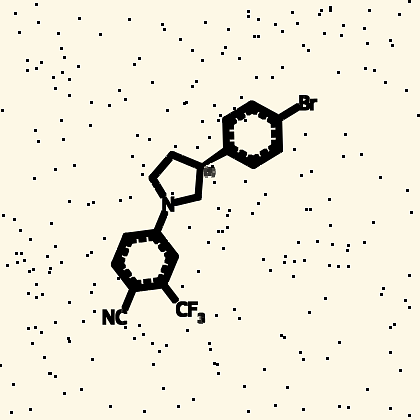 N#Cc1ccc(N2CC[C@@H](c3ccc(Br)cc3)C2)cc1C(F)(F)F